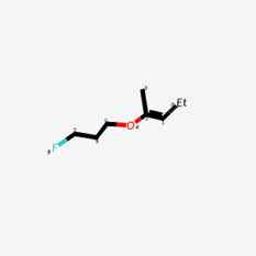 CC/C=C(\C)OCCCF